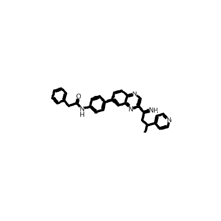 CC(CC(=N)c1cnc2ccc(-c3ccc(NC(=O)Cc4ccccc4)cc3)cc2n1)c1ccncc1